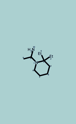 CCC1(CC)CCCCN1C(C)N